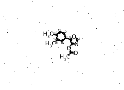 CC(=O)Oc1ncoc1-c1ccc(C)c(C)c1